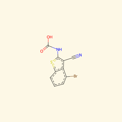 N#Cc1c(NC(=O)O)sc2cccc(Br)c12